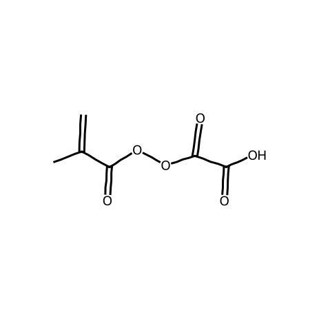 C=C(C)C(=O)OOC(=O)C(=O)O